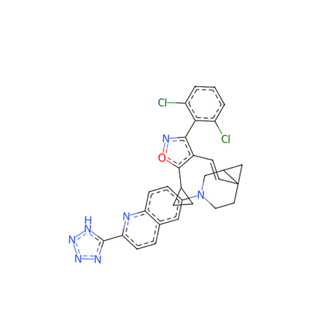 Clc1cccc(Cl)c1-c1noc(C2CC2)c1/C=C/C12CCN(c3ccc4nc(-c5nnn[nH]5)ccc4c3)CC1C2